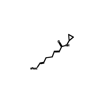 CCCCCC=CCCC=CC(=O)NC1CC1